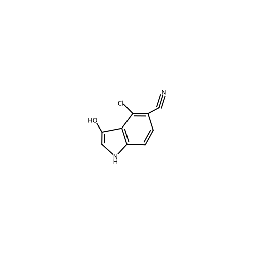 N#Cc1ccc2[nH]cc(O)c2c1Cl